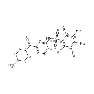 CN1CCC(C(=O)c2cccc(NS(=O)(=O)c3c(F)c(F)c(F)c(F)c3F)c2)CC1